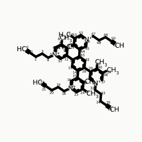 C#CCCC[n+]1cc(C)c(C)c(-c2cc(-c3c[n+](CCCC#C)cc(C)c3C)c(-c3c[n+](CCCC#C)cc(C)c3C)cc2-c2c[n+](CCCC#C)cc(C)c2C)c1